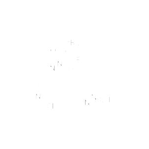 Cn1cc(-c2cc(F)c3c(c2)c(-c2ccnc(Cl)c2)nn3C(=O)OC(C)(C)C)cn1